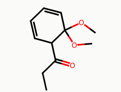 CCC(=O)C1C=CC=CC1(OC)OC